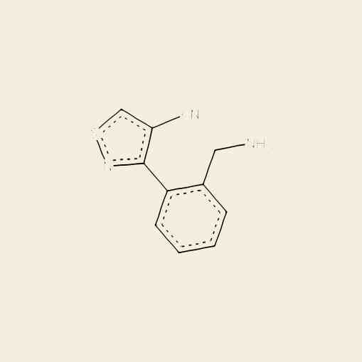 N#Cc1csnc1-c1ccccc1CN